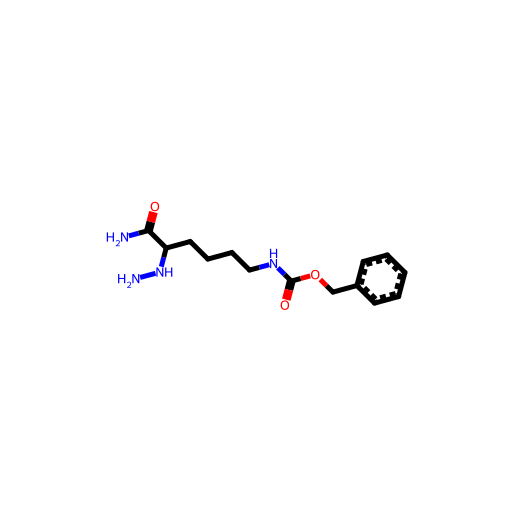 NNC(CCCCNC(=O)OCc1ccccc1)C(N)=O